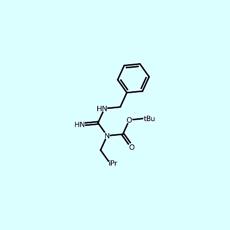 CC(C)CN(C(=N)NCc1ccccc1)C(=O)OC(C)(C)C